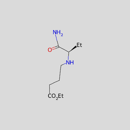 CCOC(=O)CCCN[C@H](CC)C(N)=O